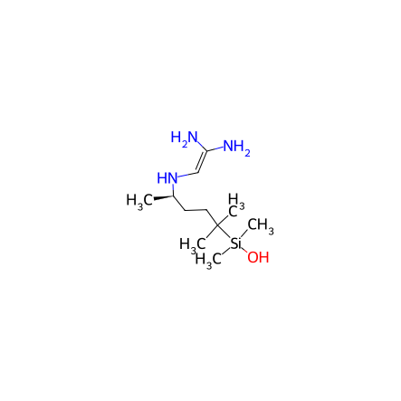 C[C@H](CCC(C)(C)[Si](C)(C)O)NC=C(N)N